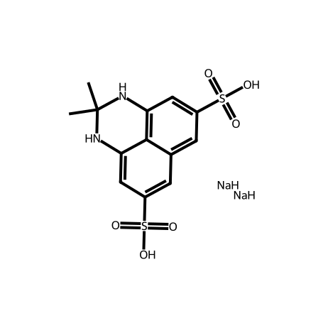 CC1(C)Nc2cc(S(=O)(=O)O)cc3cc(S(=O)(=O)O)cc(c23)N1.[NaH].[NaH]